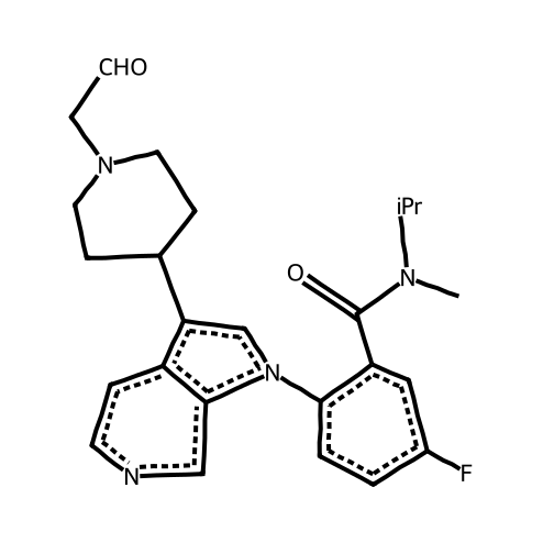 CC(C)N(C)C(=O)c1cc(F)ccc1-n1cc(C2CCN(CC=O)CC2)c2ccncc21